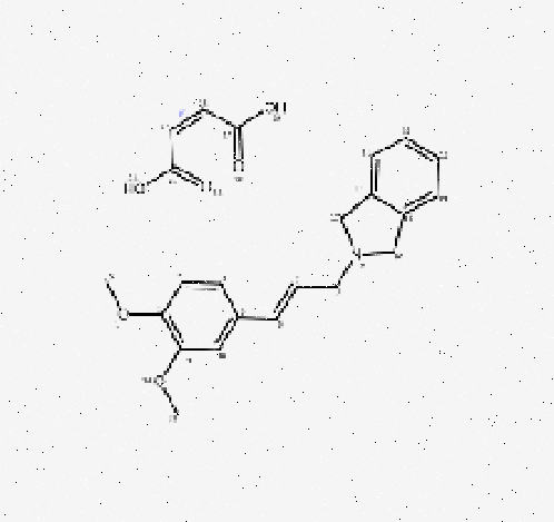 COc1ccc(C=CCN2Cc3ccccc3C2)cc1OC.O=C(O)/C=C\C(=O)O